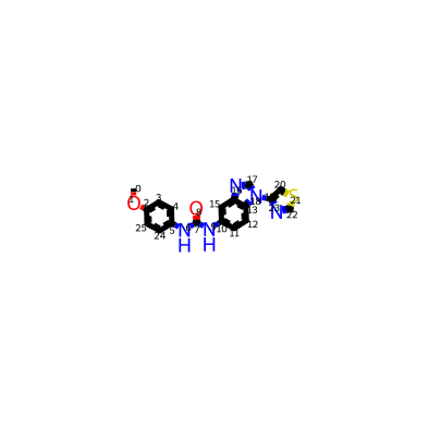 COc1ccc(NC(=O)Nc2ccc3c(c2)ncn3-c2cscn2)cc1